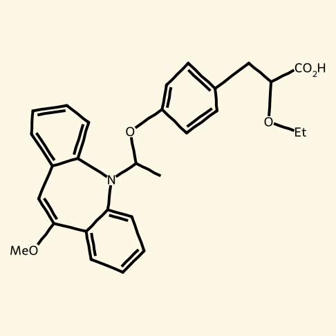 CCOC(Cc1ccc(OC(C)N2c3ccccc3C=C(OC)c3ccccc32)cc1)C(=O)O